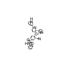 Cn1nccc1-c1nc(C2=CONC2)ccc1Oc1ccc(S(=O)(=O)Nc2nccs2)cc1C#N